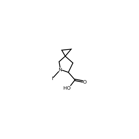 O=C(O)C1CC2(CC2)CN1I